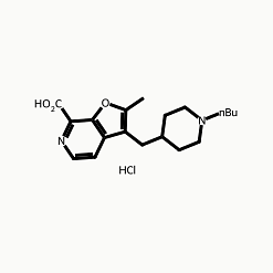 CCCCN1CCC(Cc2c(C)oc3c(C(=O)O)nccc23)CC1.Cl